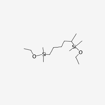 CCO[Si](C)(C)CCCCC(C)[Si](C)(C)OCC